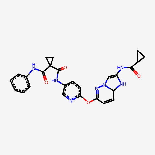 O=C(NC1=CN2N=C(Oc3ccc(NC(=O)C4(C(=O)Nc5ccccc5)CC4)cn3)C=CC2N1)C1CC1